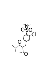 CC(=O)C(Cc1ccc(S(=O)(=O)N(C)C)c(Cl)c1)C(=O)C(C)C